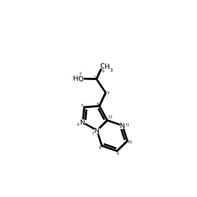 CC(O)Cc1cnn2cccnc12